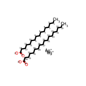 CCCCCCCCCCCCCCCC(=O)[O-].CCCCCCCCCCCCCCCCCC(=O)[O-].[Ag+].[Ag+]